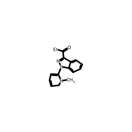 CCC(=O)c1nn(C2=CC=CCN2C)c2ccccc12